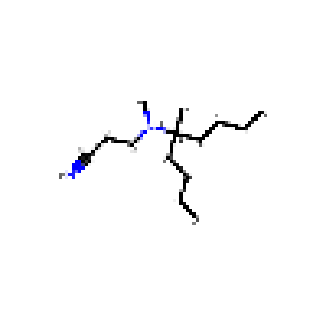 CCCCC(C)(CCCC)N(C)CCC#N